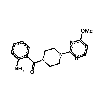 COc1ccnc(N2CCN(C(=O)c3ccccc3N)CC2)n1